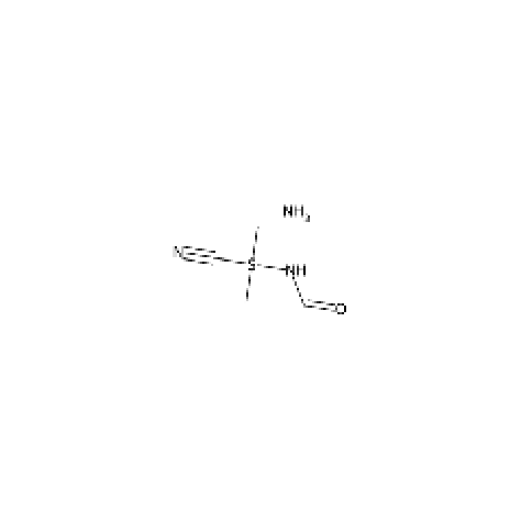 CS(C)(C#N)NC=O.N